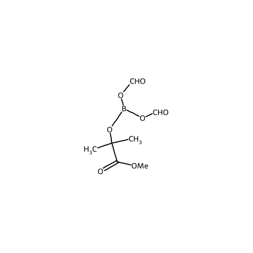 COC(=O)C(C)(C)OB(OC=O)OC=O